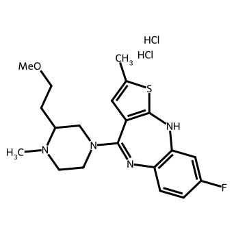 COCCC1CN(C2=Nc3ccc(F)cc3Nc3sc(C)cc32)CCN1C.Cl.Cl